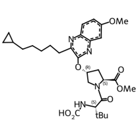 COC(=O)[C@@H]1C[C@@H](Oc2nc3cc(OC)ccc3nc2CCCCCC2CC2)CN1C(=O)[C@@H](NC(=O)O)C(C)(C)C